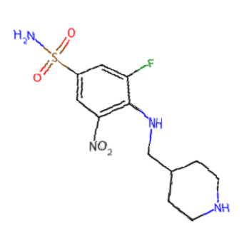 NS(=O)(=O)c1cc(F)c(NCC2CCNCC2)c([N+](=O)[O-])c1